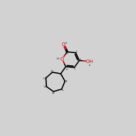 O=c1cc(O)cc(C2CCCCCC2)o1